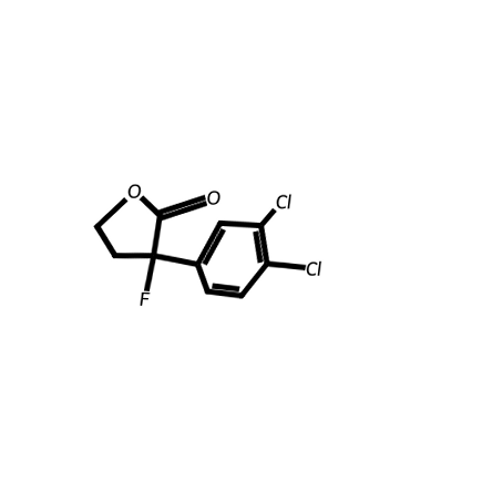 O=C1OCCC1(F)c1ccc(Cl)c(Cl)c1